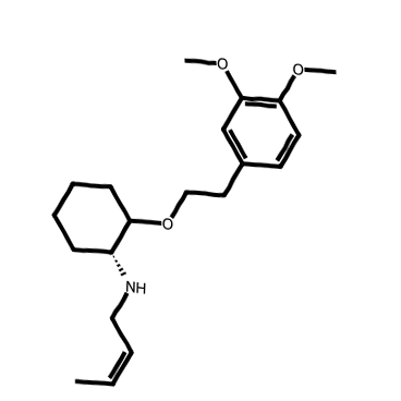 C/C=C\CN[C@@H]1CCCCC1OCCc1ccc(OC)c(OC)c1